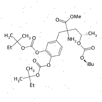 CC[C@H](C)OC(=O)O[C@@H](C)CC(N)(Cc1ccc(OC(=O)OC(C)(C)CC)c(OC(=O)OC(C)(C)CC)c1)C(=O)OC